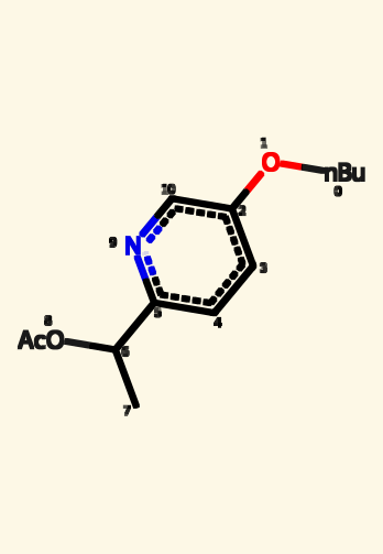 CCCCOc1ccc(C(C)OC(C)=O)nc1